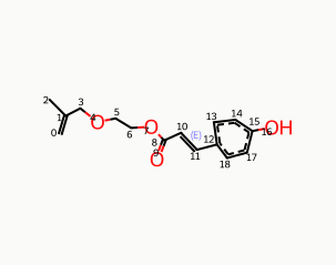 C=C(C)COCCOC(=O)/C=C/c1ccc(O)cc1